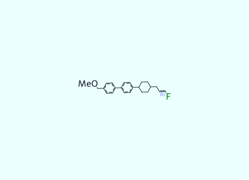 COCc1ccc(-c2ccc(C3CCC(C/C=C/F)CC3)cc2)cc1